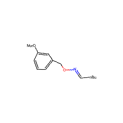 CCCCC=NOCc1cccc(OC)c1